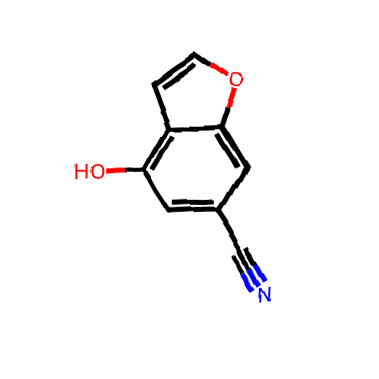 N#Cc1cc(O)c2ccoc2c1